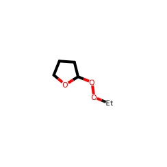 CCOOC1CCCO1